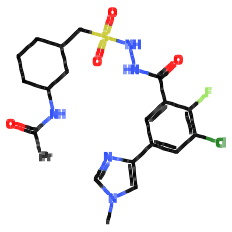 CC(C)C(=O)NC1CCCC(CS(=O)(=O)NNC(=O)c2cc(-c3cn(C)cn3)cc(Cl)c2F)C1